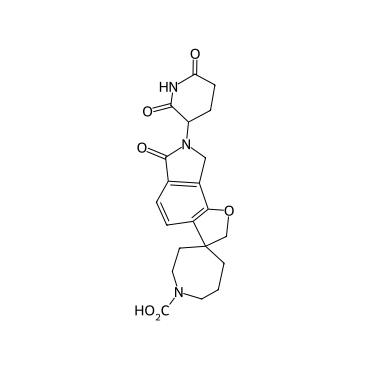 O=C1CCC(N2Cc3c(ccc4c3OCC43CCCN(C(=O)O)CC3)C2=O)C(=O)N1